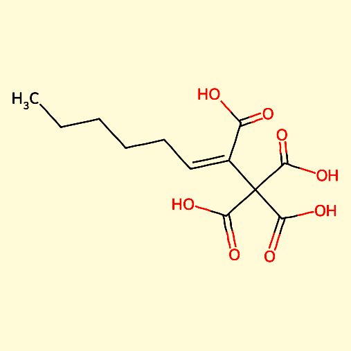 CCCCCC=C(C(=O)O)C(C(=O)O)(C(=O)O)C(=O)O